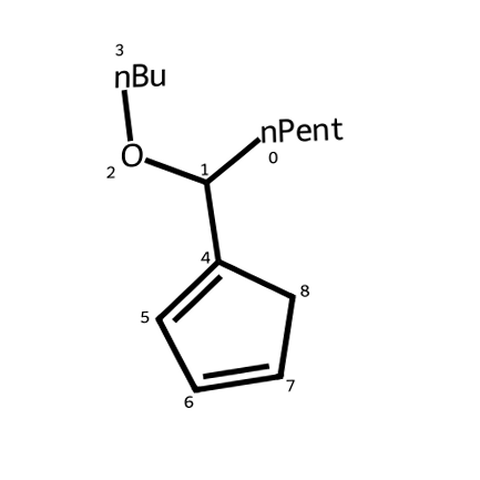 CCCCCC(OCCCC)C1=CC=CC1